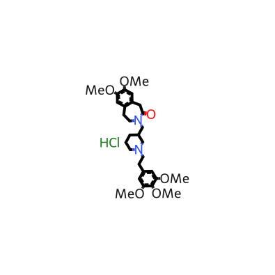 COc1cc2c(cc1OC)CC(=O)N(CC1CCCN(CCc3cc(OC)c(OC)c(OC)c3)C1)CC2.Cl